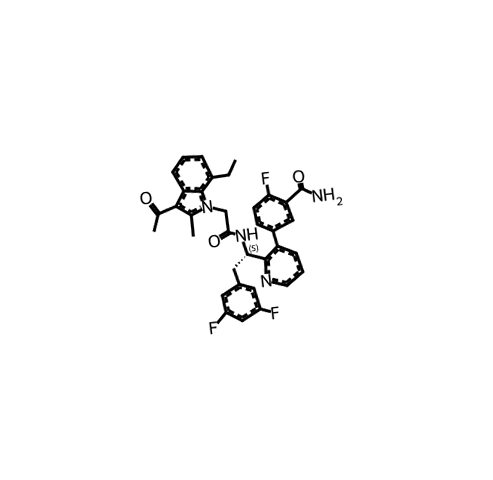 CCc1cccc2c(C(C)=O)c(C)n(CC(=O)N[C@@H](Cc3cc(F)cc(F)c3)c3ncccc3-c3ccc(F)c(C(N)=O)c3)c12